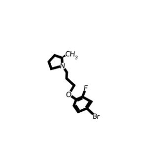 C[C@@H]1CCCN1CCCOc1ccc(Br)cc1F